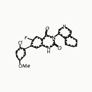 COc1ccc(Cl)c(-c2cc3[nH]c(=O)n(-c4cncc5ccccc45)c(=O)c3cc2F)c1